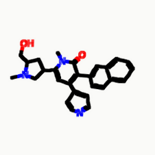 CN1CC(c2cc(-c3ccncc3)c(-c3ccc4ccccc4c3)c(=O)n2C)CC1CO